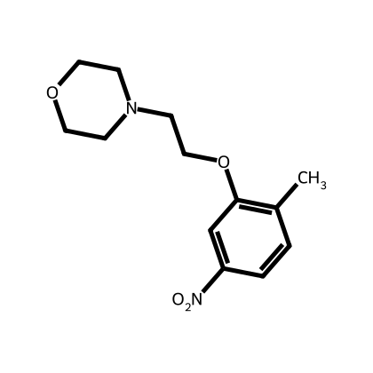 Cc1ccc([N+](=O)[O-])cc1OCCN1CCOCC1